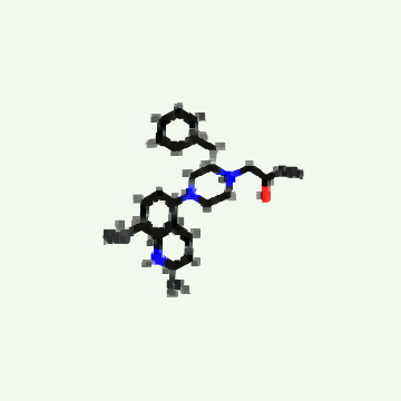 CNC(=O)CN1CCN(c2ccc(OC)c3nc(C(F)(F)F)ccc23)C[C@@H]1Cc1ccccc1